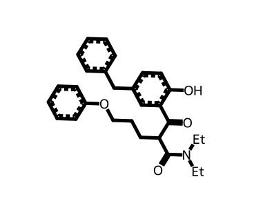 CCN(CC)C(=O)C(CCCOc1ccccc1)C(=O)c1cc(Cc2ccccc2)ccc1O